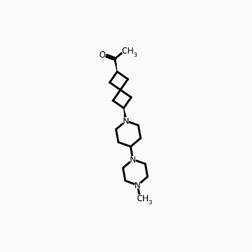 CC(=O)[C@H]1CC2(C1)C[C@H](N1CCC(N3CCN(C)CC3)CC1)C2